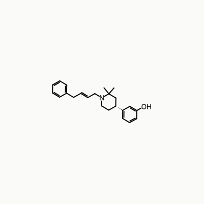 CC1(C)C[C@H](c2cccc(O)c2)CCN1CC=CCc1ccccc1